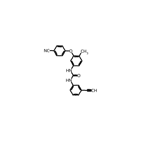 C#Cc1cccc(NC(=O)Nc2ccc(C)c(Oc3ccc(C#N)cc3)c2)c1